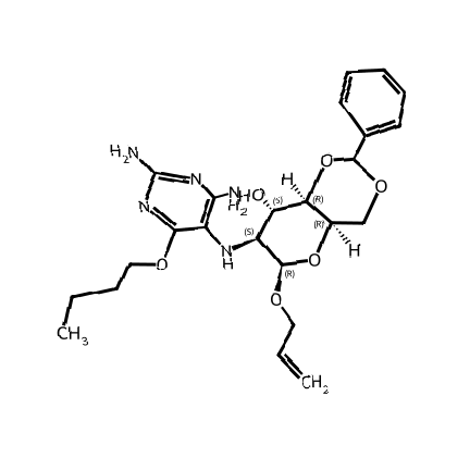 C=CCO[C@@H]1O[C@@H]2COC(c3ccccc3)O[C@@H]2[C@@H](O)[C@@H]1Nc1c(N)nc(N)nc1OCCCC